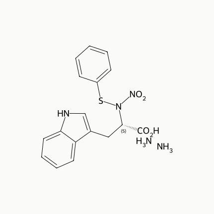 N.N.O=C(O)[C@H](Cc1c[nH]c2ccccc12)N(Sc1ccccc1)[N+](=O)[O-]